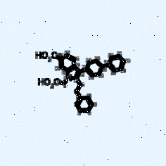 O=C(O)Cn1c(CCc2ccccc2)c(C2=CCC(c3ccccc3)CC2)c2ccc(C(=O)O)cc21